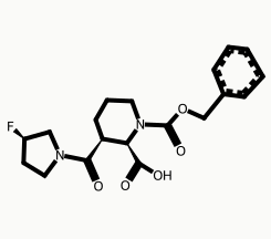 O=C(O)[C@H]1[C@@H](C(=O)N2CC[C@@H](F)C2)CCCN1C(=O)OCc1ccccc1